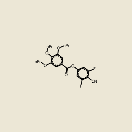 CCCOc1cc(C(=O)Oc2cc(F)c(C#N)c(F)c2)cc(OCCC)c1OCCC